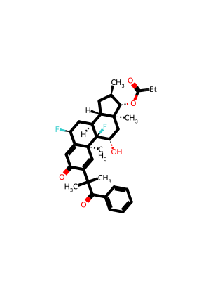 CCC(=O)O[C@H]1[C@H](C)C[C@H]2[C@@H]3C[C@H](F)C4=CC(=O)C(C(C)(C)C(=O)c5ccccc5)=C[C@]4(C)[C@@]3(F)[C@@H](O)C[C@@]21C